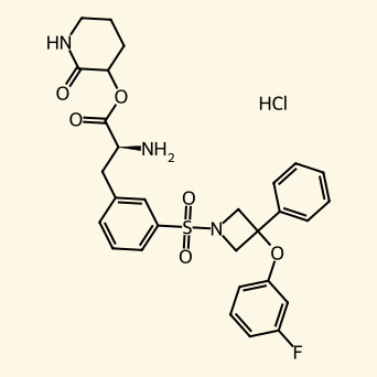 Cl.N[C@@H](Cc1cccc(S(=O)(=O)N2CC(Oc3cccc(F)c3)(c3ccccc3)C2)c1)C(=O)OC1CCCNC1=O